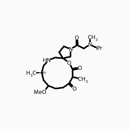 COC1CCC(=O)C(C)C(=O)OC2(CCN(C(=O)CN(C)C(C)C)C2)CNC[C@H](C)C1